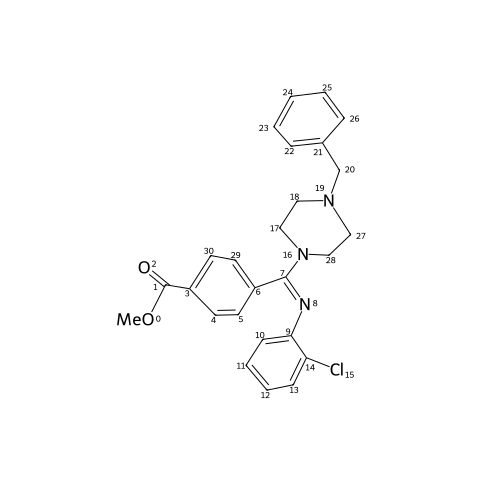 COC(=O)c1ccc(C(=Nc2ccccc2Cl)N2CCN(Cc3ccccc3)CC2)cc1